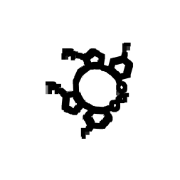 CC(C)C1=CCC2=C1CCC1=C(CC=C1C(C)C)c1cc(F)ccc1[O][Zr][O]c1ccc(F)cc12